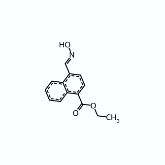 CCOC(=O)c1ccc(C=NO)c2ccccc12